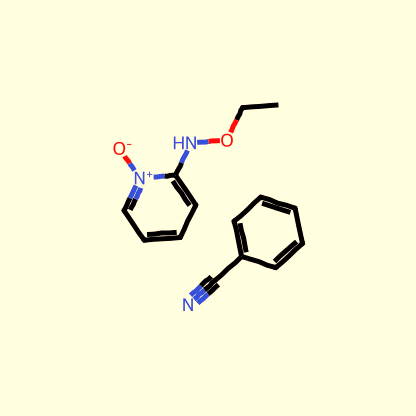 CCONc1cccc[n+]1[O-].N#Cc1ccccc1